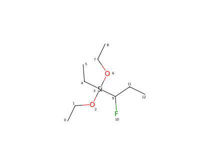 CCO[Si](CC)(OCC)C(F)CC